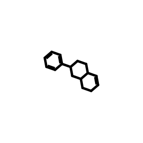 [C]1=CCCC2CC(c3ccccc3)CCC12